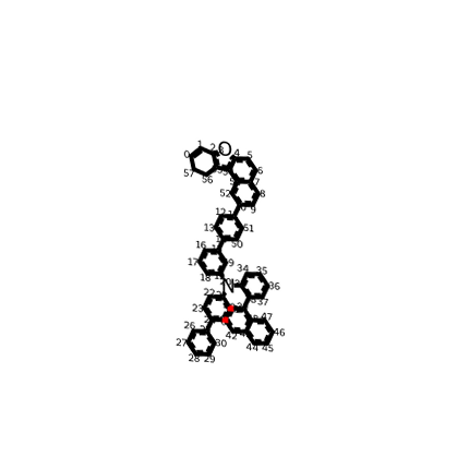 C1=Cc2oc3ccc4ccc(-c5ccc(-c6cccc(N(c7ccc(-c8ccccc8)cc7)c7ccccc7-c7cccc8ccccc78)c6)cc5)cc4c3c2CC1